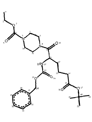 CCOC(=O)N1CCN(C(=O)C(CCCC(=O)OC(C)(C)C)NC(=O)OCc2ccccc2)CC1